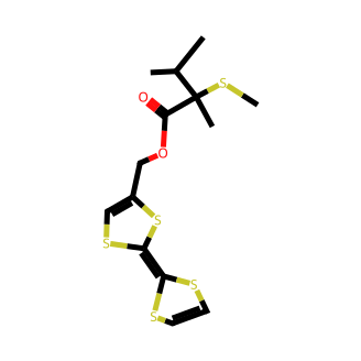 CSC(C)(C(=O)OCC1=CSC(=C2SC=CS2)S1)C(C)C